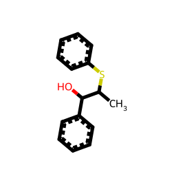 CC(Sc1ccccc1)C(O)c1ccccc1